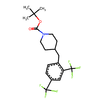 CC(C)(C)OC(=O)N1CCC(Cc2ccc(C(F)(F)F)cc2C(F)(F)F)CC1